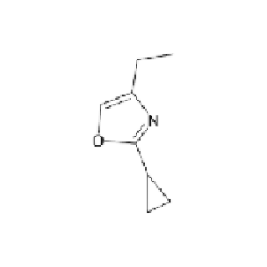 CCc1coc(C2CC2)n1